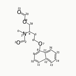 CN(C=O)C(CCOc1cccc2ccccc12)COC=O